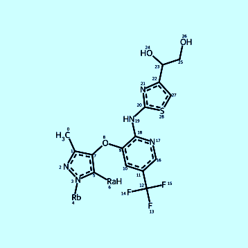 Cc1n[n]([Rb])[c]([RaH])c1Oc1cc(C(F)(F)F)cnc1Nc1nc(C(O)CO)cs1